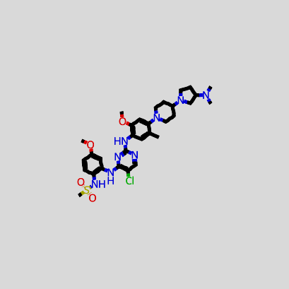 COc1ccc(NS(C)(=O)=O)c(Nc2nc(Nc3cc(C)c(N4CCC(N5CCC(N(C)C)C5)CC4)cc3OC)ncc2Cl)c1